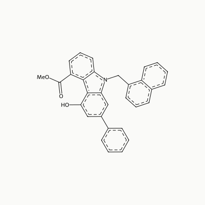 COC(=O)c1cccc2c1c1c(O)cc(-c3ccccc3)cc1n2Cc1cccc2ccccc12